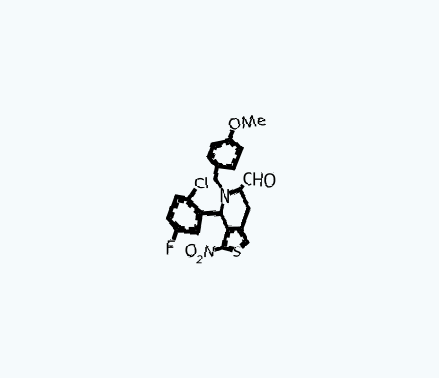 COc1ccc(CN2C(C=O)Cc3csc([N+](=O)[O-])c3C2c2cc(F)ccc2Cl)cc1